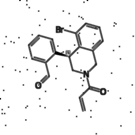 C=CC(=O)N1Cc2cccc(Br)c2[C@H](c2ccccc2C=O)C1